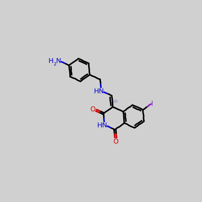 Nc1ccc(CN/C=C2\C(=O)NC(=O)c3ccc(I)cc32)cc1